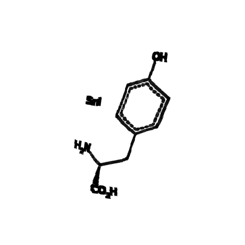 N[C@@H](Cc1ccc(O)cc1)C(=O)O.[Sn]